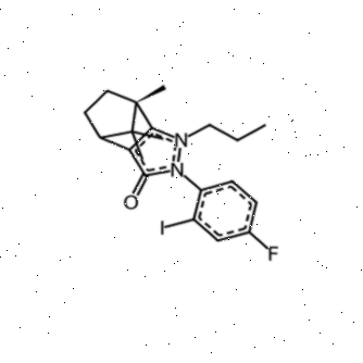 CCCn1c2c(c(=O)n1-c1ccc(F)cc1I)C1CC[C@@]2(C)C1(C)C